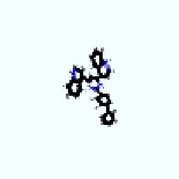 c1ccc(-c2ccc(-c3nc(-c4ccnc5ccccc45)cc(-c4ccnc5ccccc45)n3)cc2)cc1